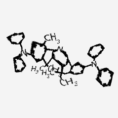 Cc1cc(N(c2ccccc2)c2ccccc2)cc2c1-c1ncc3c(c1C2(C)C)C(C)(C)c1ccc(N(c2ccccc2)c2ccccc2)cc1-3